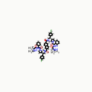 CN[C@@H](C)C(=O)N[C@H](C(=O)N1CCC[C@H]1CN(CCc1ccc(F)cc1)C(=O)c1ccc2cc(C(=O)N(CCc3ccc(F)cc3)C[C@@H]3CCCN3C(=O)[C@@H](NC(=O)[C@H](C)NC)C3CCCCC3)ccc2c1)C1CCCCC1